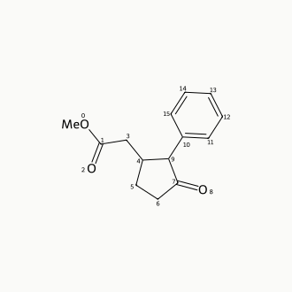 COC(=O)CC1CCC(=O)C1c1ccccc1